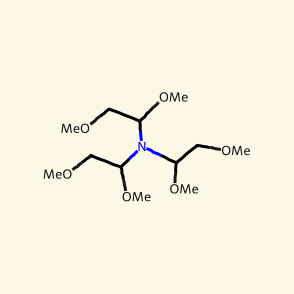 COCC(OC)N(C(COC)OC)C(COC)OC